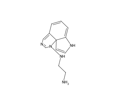 NCCNN1C=NC=C2C=CC=C3NC=CC231